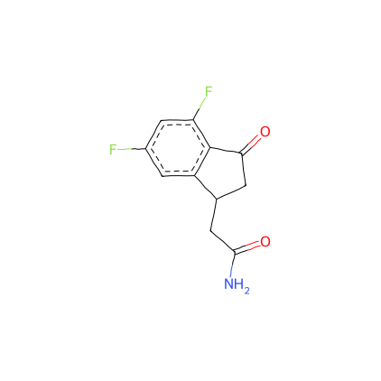 NC(=O)CC1CC(=O)c2c(F)cc(F)cc21